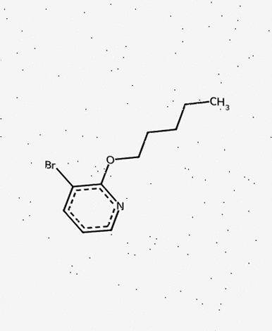 CCCCCOc1ncccc1Br